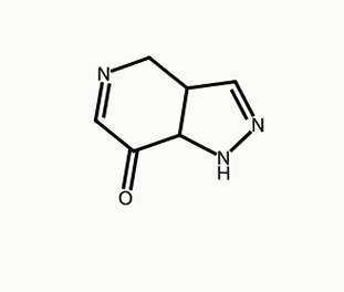 O=C1C=NCC2C=NNC12